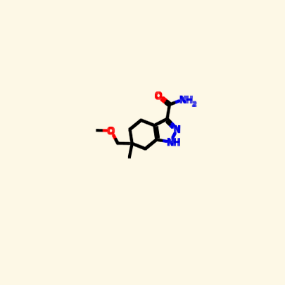 COCC1(C)CCc2c(C(N)=O)n[nH]c2C1